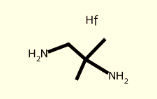 CC(C)(N)CN.[Hf]